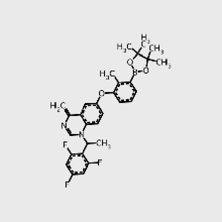 C=C1N=CN(C(C)c2c(F)cc(F)cc2F)c2ccc(Oc3cccc(B4OC(C)(C)C(C)(C)O4)c3C)cc21